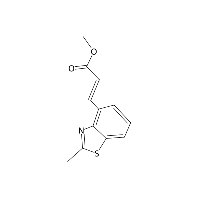 COC(=O)C=Cc1cccc2sc(C)nc12